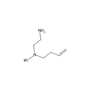 C=CCCN(CCN)C(C)C